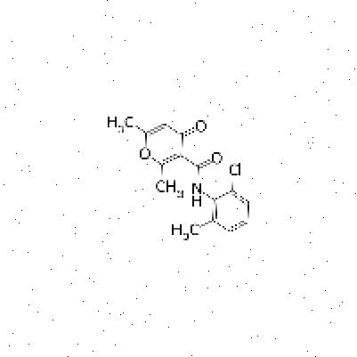 Cc1cc(=O)c(C(=O)Nc2c(C)cccc2Cl)c(C)o1